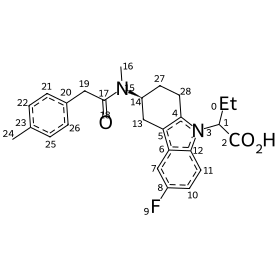 CCC(C(=O)O)n1c2c(c3cc(F)ccc31)C[C@@H](N(C)C(=O)Cc1ccc(C)cc1)CC2